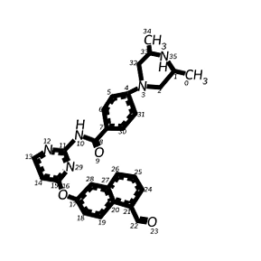 CC1CN(c2ccc(C(=O)Nc3nccc(Oc4ccc5c(C=O)cccc5c4)n3)cc2)CC(C)N1